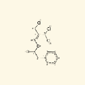 O=C(Cc1ccccc1)ON=C(CCl)C(Cl)Cl